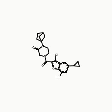 O=C(c1oc2c(C(F)(F)F)cc(C3CC3)cc2c1Cl)N1CCN(C23CCC(C2)C3)C(=O)C1